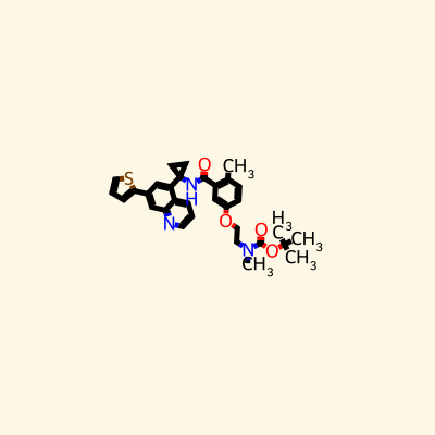 Cc1ccc(OCCN(C)C(=O)OC(C)(C)C)cc1C(=O)NC1(c2cc(-c3cccs3)cc3ncccc23)CC1